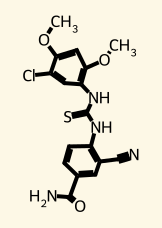 COc1cc(OC)c(NC(=S)Nc2ccc(C(N)=O)cc2C#N)cc1Cl